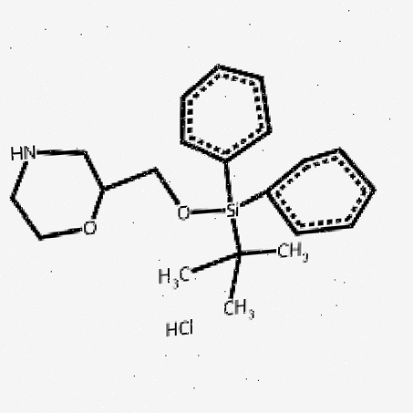 CC(C)(C)[Si](OCC1CNCCO1)(c1ccccc1)c1ccccc1.Cl